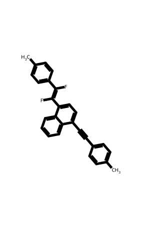 Cc1ccc(C#Cc2ccc(/C(F)=C(\F)c3ccc(C)cc3)c3ccccc23)cc1